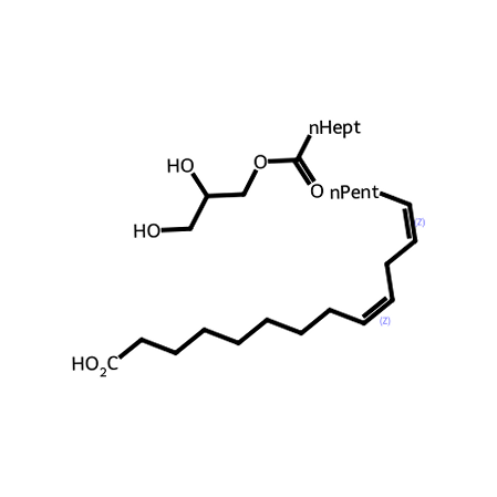 CCCCC/C=C\C/C=C\CCCCCCCC(=O)O.CCCCCCCC(=O)OCC(O)CO